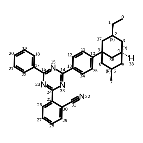 CC[C@H]1C[C@H]2C[C@@H](C)CC(c3ccc(-c4nc(-c5ccccc5)nc(-c5ccccc5C#N)n4)cc3)(C2)C1